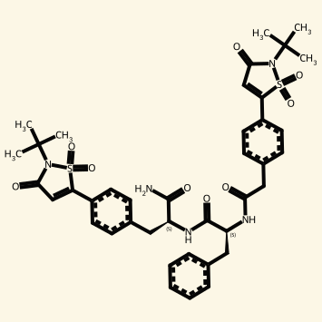 CC(C)(C)N1C(=O)C=C(c2ccc(CC(=O)N[C@@H](Cc3ccccc3)C(=O)N[C@@H](Cc3ccc(C4=CC(=O)N(C(C)(C)C)S4(=O)=O)cc3)C(N)=O)cc2)S1(=O)=O